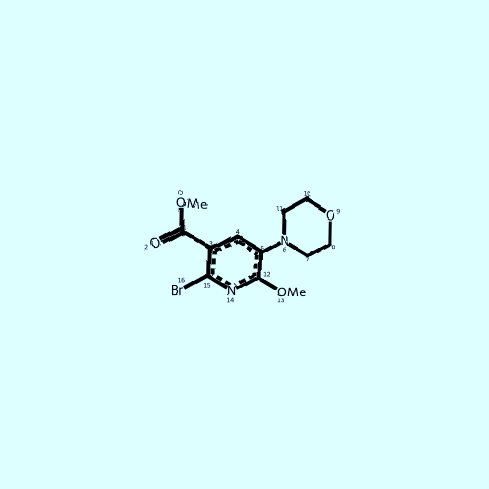 COC(=O)c1cc(N2CCOCC2)c(OC)nc1Br